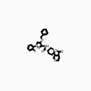 O=C1O[C@]2(CC[C@@H](C(=O)Nc3nn(-c4ccccc4F)cc3OCc3ccccc3)CC2)c2cnccc21